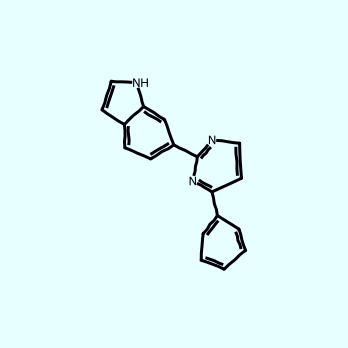 c1ccc(-c2ccnc(-c3ccc4cc[nH]c4c3)n2)cc1